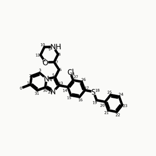 Cc1ccn2c(CC3CNCCO3)c(-c3ccc(SCc4ccccc4)cc3Cl)nc2c1